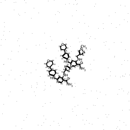 Cn1cc(CNc2cc(Nc3ccc(C4CCOCC4)cc3)ncc2C(N)=O)cn1.NC(=O)c1cnc(Nc2ccc(C3CCOCC3)cc2)cc1NCc1nccs1